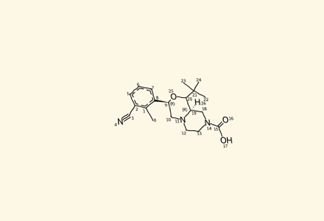 Cc1c(C#N)cccc1[C@@H]1CN2CCN(C(=O)O)C[C@@H]2C(C(C)(C)C)O1